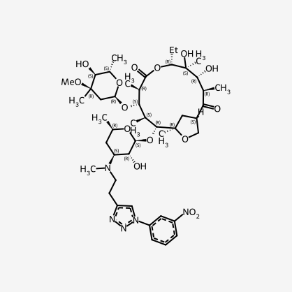 CC[C@H]1OC(=O)[C@H](C)[C@@H](O[C@H]2C[C@@](C)(OC)[C@@H](O)[C@H](C)O2)[C@H](C)[C@@H](O[C@@H]2O[C@H](C)C[C@H](N(C)CCc3cn(-c4cccc([N+](=O)[O-])c4)nn3)[C@H]2O)[C@@]2(C)C[C@@H](CO2)C(=O)[C@H](C)[C@@H](O)[C@]1(C)O